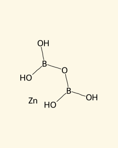 OB(O)OB(O)O.[Zn]